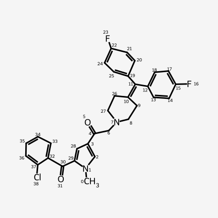 Cn1cc(C(=O)CN2CCC(=C(c3ccc(F)cc3)c3ccc(F)cc3)CC2)cc1C(=O)c1ccccc1Cl